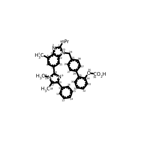 CCCc1nc2c(C)cc(-c3nc(-c4ccccc4)c(C)n3C)cc2n1Cc1ccc(-c2ccccc2OC(=O)O)cc1